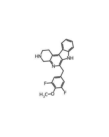 COc1c(F)cc(Cc2nc3c(c4c2[nH]c2ccccc24)CCNC3)cc1F